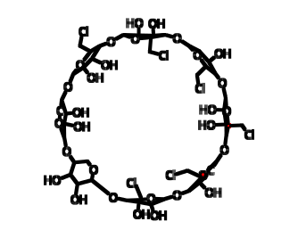 OC1CC2OC(CCl)C1OC1OC(Cl)C(OC3OCC(OC4OCC(OC5OC(CCl)C(OC6OC(CCl)C(OC7CC(O)C(OC8OC(CCl)C(O2)C(O)C8O)C(CCl)O7)C(O)C6O)C(O)C5O)C(O)C4O)C(O)C3O)C(O)C1O